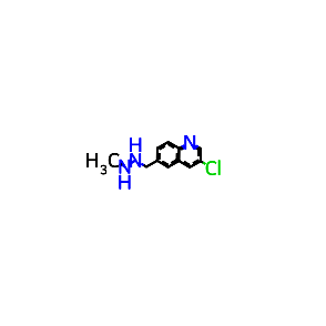 CNNCc1ccc2ncc(Cl)cc2c1